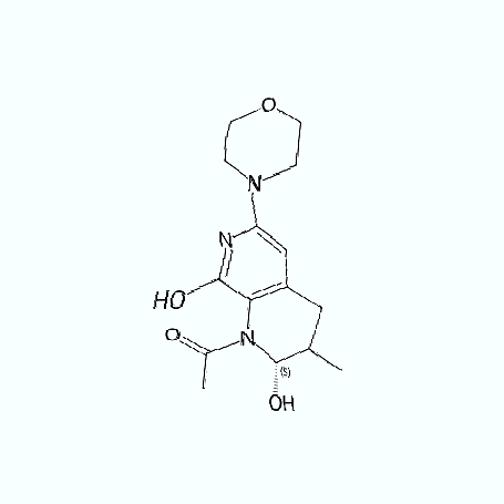 CC(=O)N1c2c(cc(N3CCOCC3)nc2O)CC(C)[C@@H]1O